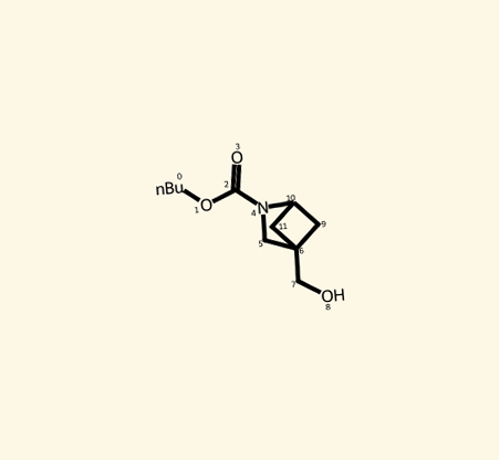 CCCCOC(=O)N1CC2(CO)CC1C2